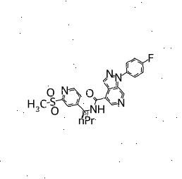 CCC[C@H](NC(=O)c1cncc2c1cnn2-c1ccc(F)cc1)c1ccnc(S(C)(=O)=O)c1